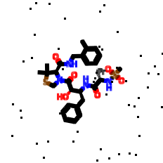 Cc1ccccc1CNC(=O)[C@H]1N(C(=O)[C@@H](O)[C@H](Cc2ccccc2)NC(=O)[C@@H](NS(C)(=O)=O)C(C)C)CSC1(C)C